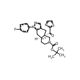 CC(C)(C)OC(=O)N1CC[C@H]2Cc3c(cnn3-c3ccc(F)cc3)C[C@@]2(C(=O)c2nccs2)C1